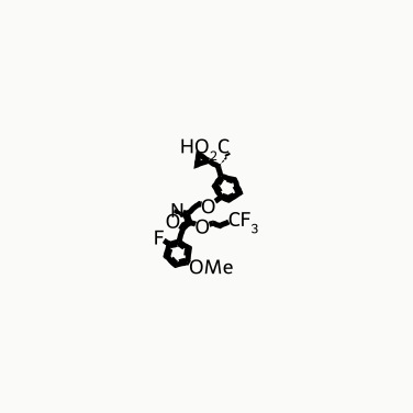 COc1ccc(F)c(-c2onc(COc3cccc([C@@H](CC(=O)O)C4CC4)c3)c2OCCC(F)(F)F)c1